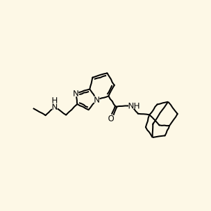 CCNCc1cn2c(C(=O)NCC34CC5CC(CC(C5)C3)C4)cccc2n1